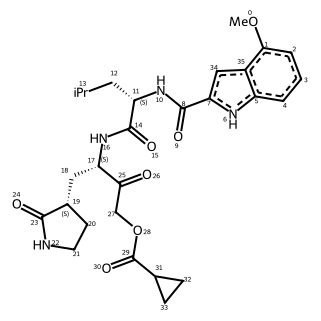 COc1cccc2[nH]c(C(=O)N[C@@H](CC(C)C)C(=O)N[C@@H](C[C@@H]3CCNC3=O)C(=O)COC(=O)C3CC3)cc12